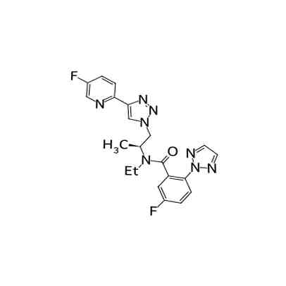 CCN(C(=O)c1cc(F)ccc1-n1nccn1)[C@@H](C)Cn1cc(-c2ccc(F)cn2)nn1